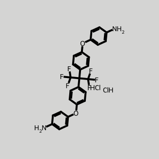 Cl.Cl.Nc1ccc(Oc2ccc(C(c3ccc(Oc4ccc(N)cc4)cc3)(C(F)(F)F)C(F)(F)F)cc2)cc1